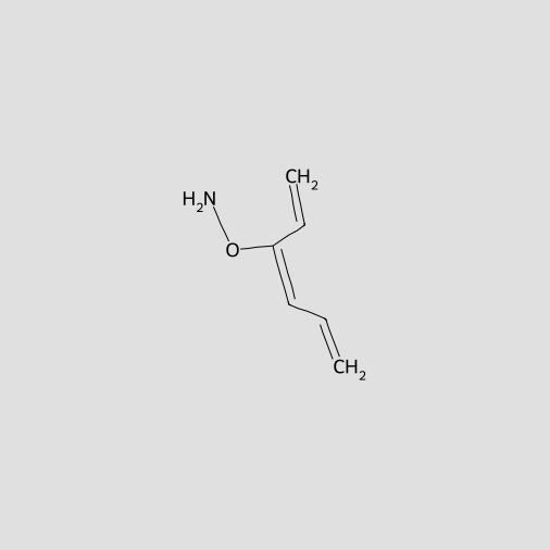 C=C/C=C(\C=C)ON